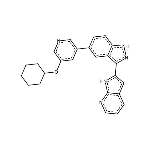 c1cnc2[nH]c(-c3n[nH]c4ccc(-c5cncc(OC6CCCCC6)c5)cc34)cc2c1